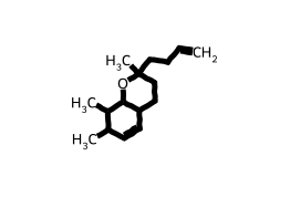 C=CCCC1(C)CCC2C=CC(C)C(C)C2O1